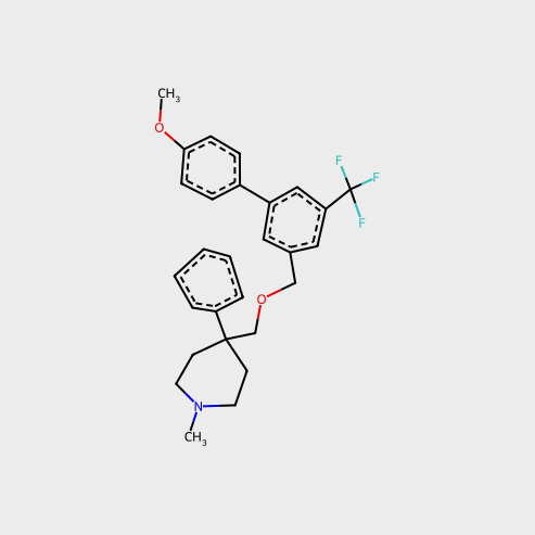 COc1ccc(-c2cc(COCC3(c4ccccc4)CCN(C)CC3)cc(C(F)(F)F)c2)cc1